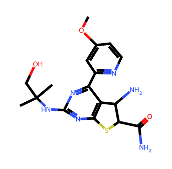 COc1ccnc(-c2nc(NC(C)(C)CO)nc3c2C(N)C(C(N)=O)S3)c1